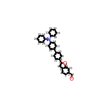 O=Cc1ccc2cc(-c3ccc(-c4ccc(N(c5ccccc5)c5ccccc5)cc4)cc3)oc2c1